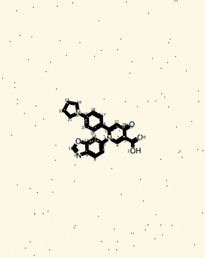 O=C(O)c1cn(-c2ccc3ncoc3c2)c(-c2ccc(N3CCCC3)cc2)cc1=O